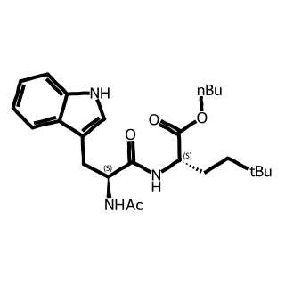 CCCCOC(=O)[C@H](CCC(C)(C)C)NC(=O)[C@H](Cc1c[nH]c2ccccc12)NC(C)=O